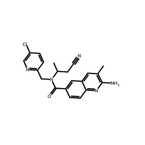 Cc1cc2cc(C(=O)N(Cc3ccc(Cl)cn3)C(C)CC#N)ccc2nc1N